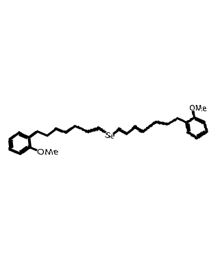 COc1ccccc1CCCCCCC[Se]CCCCCCCc1ccccc1OC